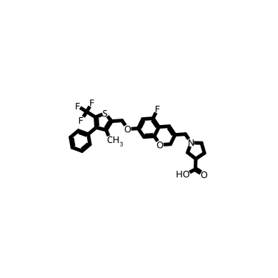 Cc1c(COc2cc(F)c3c(c2)OCC(CN2CCC(C(=O)O)C2)=C3)sc(C(F)(F)F)c1-c1ccccc1